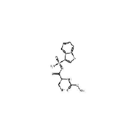 CC(C)C[C@H](NC(=O)OC(C)(C)C)C(=O)N=S(N)(=O)c1csc2ccccc12